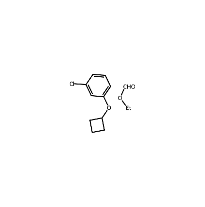 CCOC=O.Clc1cccc(OC2CCC2)c1